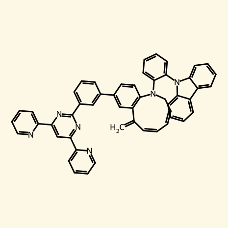 C=C1/C=C\C=C/CN(c2ccccc2-n2c3ccccc3c3ccccc32)c2ccc(-c3cccc(-c4nc(-c5ccccn5)cc(-c5ccccn5)n4)c3)cc21